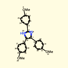 COc1ccc(-c2nc(-c3ccc(OC)cc3)c(-c3ccc(OC)cc3)[nH]2)cc1